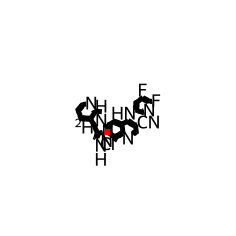 [2H][C@](Nc1cc(Cl)c2ncc(C#N)c(Nc3cnc(F)c(F)c3)c2c1)(c1c[nH]nn1)c1cccnc1C